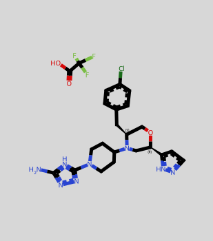 Nc1nnc(N2CCC(N3C[C@H](c4ccn[nH]4)OC[C@@H]3Cc3ccc(Cl)cc3)CC2)[nH]1.O=C(O)C(F)(F)F